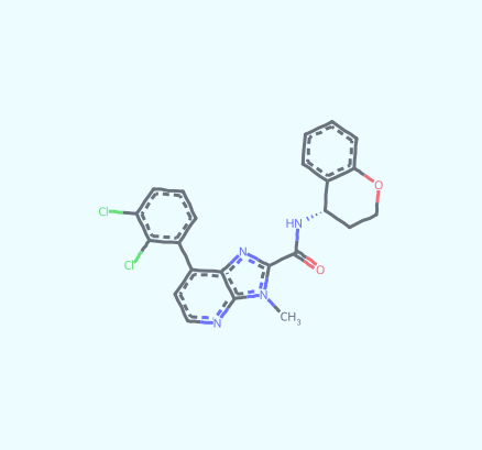 Cn1c(C(=O)N[C@H]2CCOc3ccccc32)nc2c(-c3cccc(Cl)c3Cl)ccnc21